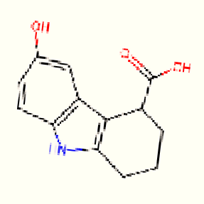 O=C(O)C1CCCc2[nH]c3ccc(O)cc3c21